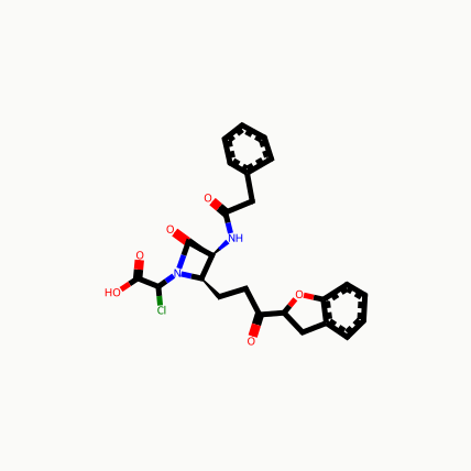 O=C(Cc1ccccc1)N[C@@H]1C(=O)N(C(Cl)C(=O)O)[C@@H]1CCC(=O)C1Cc2ccccc2O1